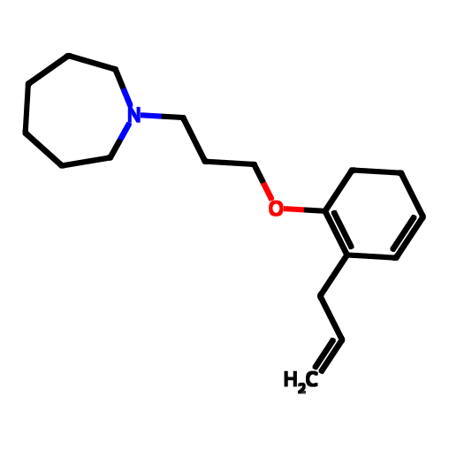 C=CCC1=C(OCCCN2CCCCCC2)CCC=C1